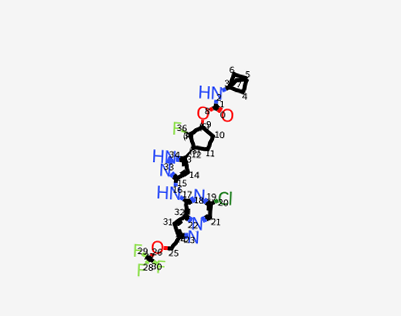 O=C(NC12CC(C1)C2)O[C@H]1CC[C@@H](c2cc(Nc3nc(Cl)cn4nc(COC(F)(F)F)cc34)n[nH]2)[C@H]1F